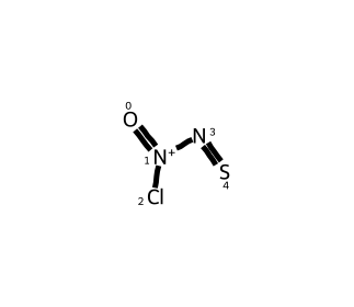 O=[N+](Cl)N=S